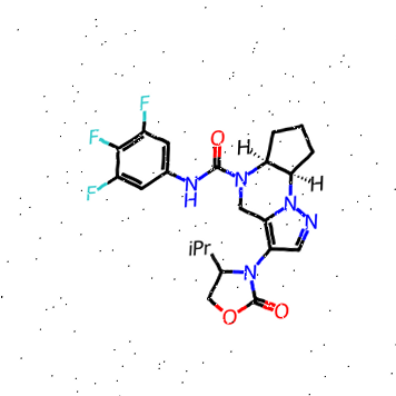 CC(C)C1COC(=O)N1c1cnn2c1CN(C(=O)Nc1cc(F)c(F)c(F)c1)[C@H]1CCC[C@H]12